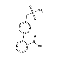 NS(=O)(=O)Cc1ccc(-c2ccccc2C(=O)O)cc1